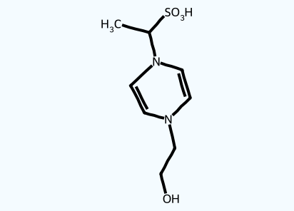 CC(N1C=CN(CCO)C=C1)S(=O)(=O)O